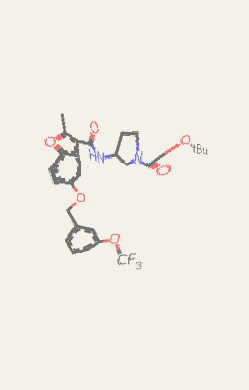 Cc1oc2ccc(OCc3cccc(OC(F)(F)F)c3)cc2c1C(=O)NC1CCN(C(=O)OC(C)(C)C)C1